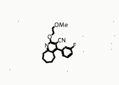 COCCOc1nc2c(c(-c3cccc(F)c3)c1C#N)CCCCC2